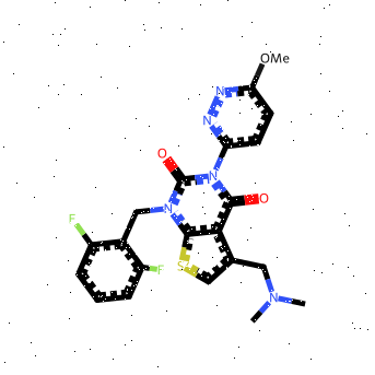 COc1ccc(-n2c(=O)c3c(CN(C)C)csc3n(Cc3c(F)cccc3F)c2=O)nn1